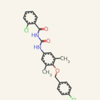 Cc1cc(NC(=O)NC(=O)c2ccccc2Cl)cc(C)c1OCc1ccc(Cl)cc1